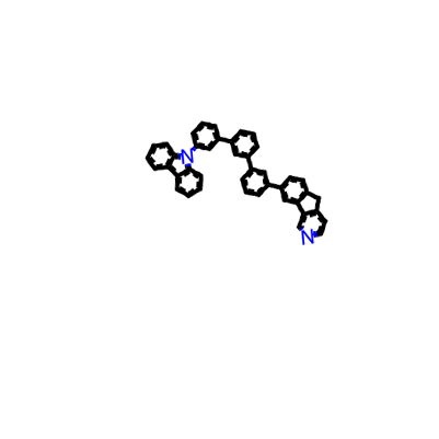 c1cc(-c2cccc(-c3ccc4c(c3)-c3cnccc3C4)c2)cc(-c2cccc(-n3c4ccccc4c4ccccc43)c2)c1